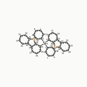 c1ccc([Si](c2ccccc2)(c2cccc3c2sc2ccccc23)c2cccc3c2sc2ccccc23)cc1